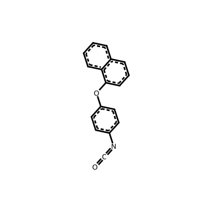 O=C=Nc1ccc(Oc2cccc3ccccc23)cc1